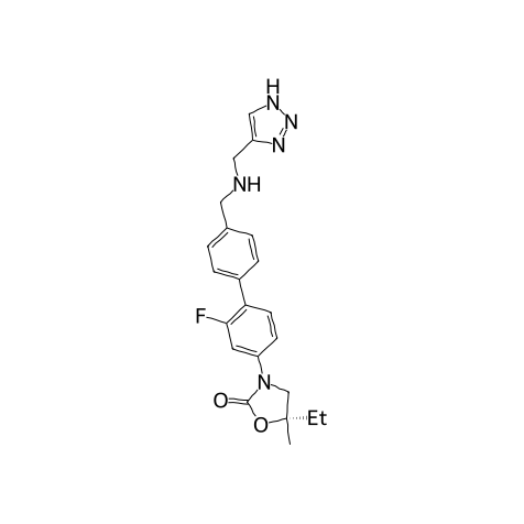 CC[C@@]1(C)CN(c2ccc(-c3ccc(CNCc4c[nH]nn4)cc3)c(F)c2)C(=O)O1